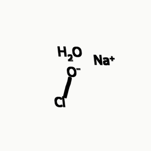 O.[Na+].[O-]Cl